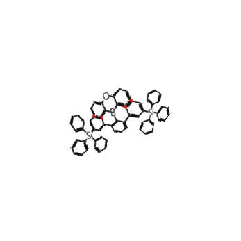 c1ccc([Si](c2ccccc2)(c2ccccc2)c2cccc(-c3cccc(-c4cccc([Si](c5ccccc5)(c5ccccc5)c5ccccc5)c4)c3B3c4ccccc4Oc4ccccc43)c2)cc1